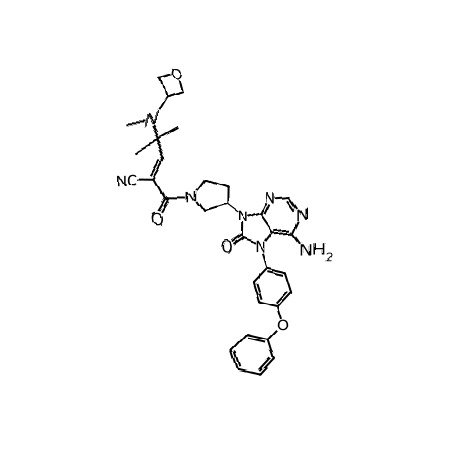 CN(C1COC1)C(C)(C)C=C(C#N)C(=O)N1CCC(n2c(=O)n(-c3ccc(Oc4ccccc4)cc3)c3c(N)ncnc32)C1